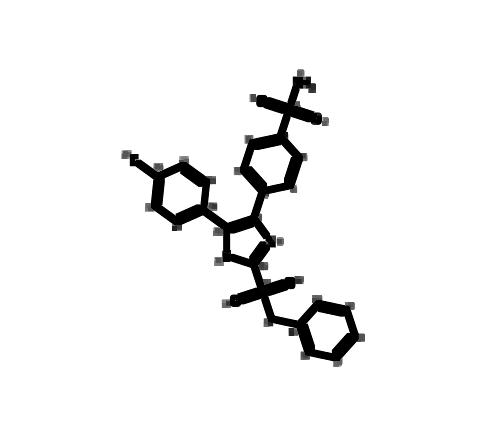 NS(=O)(=O)c1ccc(-c2nc(S(=O)(=O)Cc3ccccc3)sc2-c2ccc(F)cc2)cc1